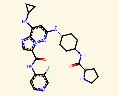 O=C(Nc1ccncc1F)c1cnc2c(NC3CC3)cc(N[C@H]3CC[C@H](NC(=O)[C@H]4CCCN4)CC3)nn12